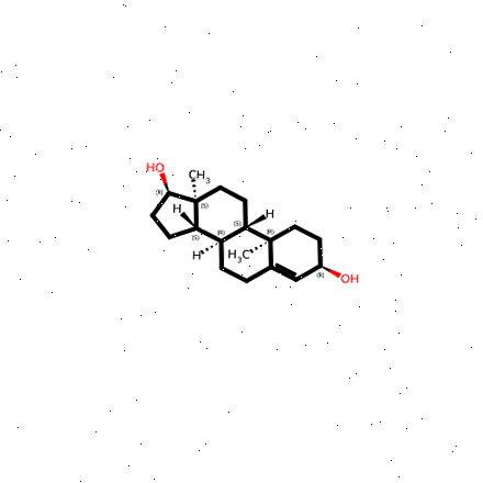 C[C@]12CC[C@H]3[C@@H](CCC4=C[C@H](O)CC[C@@]43C)[C@@H]1CC[C@H]2O